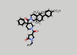 CC(C)CN1CC(C(=O)N2CCC(C(=O)N3CC=C4C(C)(C)C(c5ccc(C(=O)O)cc5)=CC[C@]4(C)C3)(c3ccccc3)CC2)CC1=O